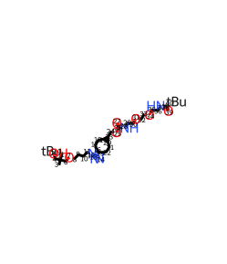 CC(C)(C)CC(C)(CO)COCCCCn1nnc2c1CCC1C(CC2)C1COC(=O)NCCOCCOCCNC(=O)C(C)(C)C